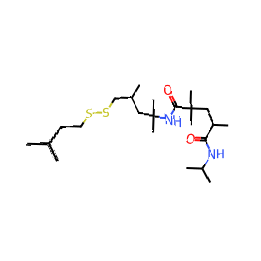 CC(C)CCSSCC(C)CC(C)(C)NC(=O)C(C)(C)CC(C)C(=O)NC(C)C